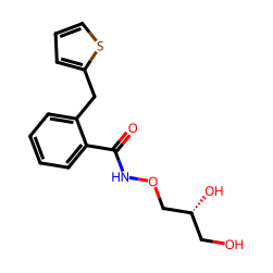 O=C(NOC[C@H](O)CO)c1ccccc1Cc1cccs1